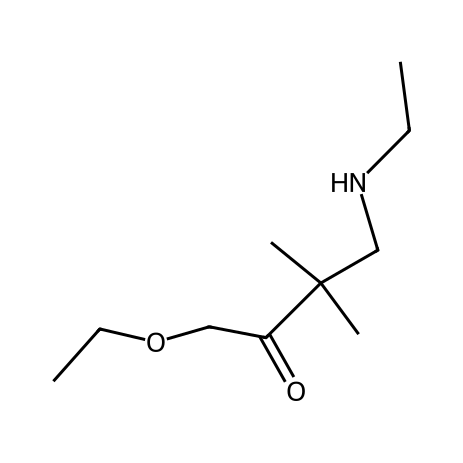 CCNCC(C)(C)C(=O)COCC